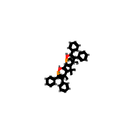 CC1(C)C2=C(O[P@@]3C[C@@]2(C)C(c2ccccc2)=C3c2ccccc2)C2=C1[C@@]1(C)CP2OC(c2ccccc2)=C1c1ccccc1